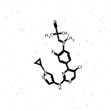 CN(CC(C)(C)C#N)c1ccc(-c2nc(Nc3cnn(C4CC4)c3)ncc2Cl)cc1F